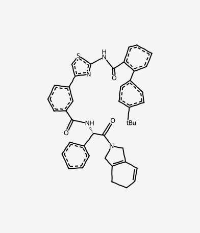 CC(C)(C)c1ccc(-c2ccccc2C(=O)Nc2nc(-c3cccc(C(=O)N[C@H](C(=O)N4CC5=C(CCC=C5)C4)c4ccccc4)c3)cs2)cc1